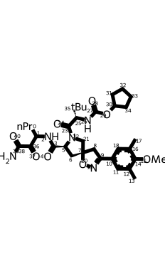 CCCC(NC(=O)[C@@H]1C[C@]2(CC(c3cc(C)c(OC)c(C)c3)=NO2)CN1C(=O)[C@@H](NC(=O)OC1CCCC1)C(C)(C)C)C(=O)C(N)=O